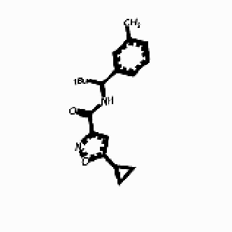 Cc1cccc(C(NC(=O)c2cc(C3CC3)on2)C(C)(C)C)c1